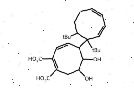 CC(C)(C)C1CCC=CC=CC1(C1C=CC(C(=O)O)=C(C(=O)O)CC(O)C1O)C(C)(C)C